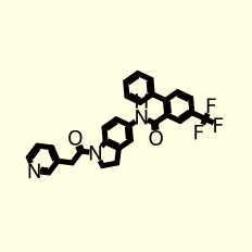 O=C(Nc1ccc2c(c1)CCN2C(=O)Cc1cccnc1)c1cc(C(F)(F)F)ccc1-c1ccccc1